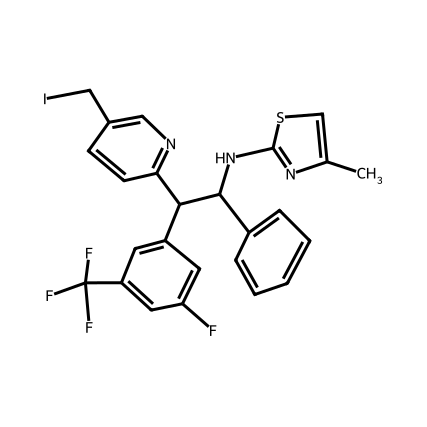 Cc1csc(NC(c2ccccc2)C(c2cc(F)cc(C(F)(F)F)c2)c2ccc(CI)cn2)n1